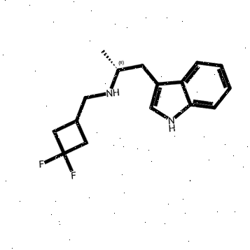 C[C@H](Cc1c[nH]c2ccccc12)NCC1CC(F)(F)C1